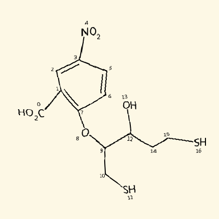 O=C(O)c1cc([N+](=O)[O-])ccc1OC(CS)C(O)CCS